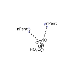 CCCCC/C=C\C/C=C\CCCCCCCC(=O)OCC(COC(=O)CCCCCCC/C=C\C/C=C\CCCCC)OC(=O)C1CCCCC1C(=O)O